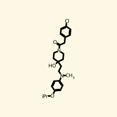 CC(C)Oc1ccc(N(C)CCC2(O)CCN(C(=O)Cc3ccc(Cl)cc3)CC2)cc1